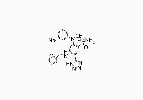 CN(c1ccccc1)c1cc(NCc2ccco2)c(-c2nnn[nH]2)cc1S(N)(=O)=O.[Na]